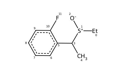 CC[S+]([O-])C(C)c1ccccc1F